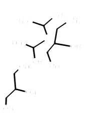 CC(C)OC(C)C.OCC(O)CO.OCC(O)CO